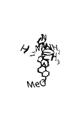 COCC1CCC2C(CCC34CC23CCC2(C)C(C(=O)CN(N)c3cnccc3N)CCC24)C1